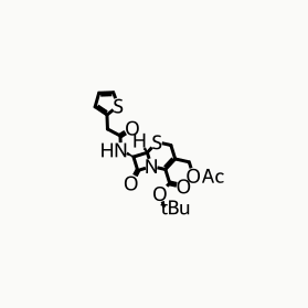 CC(=O)OCC1=C(C(=O)OC(C)(C)C)N2C(=O)[C@@H](NC(=O)Cc3cccs3)[C@@H]2SC1